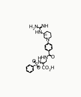 N=C(N)N[C@H]1CCCN(c2ccc(C(=O)NC[C@H](NS(=O)(=O)c3ccccc3)C(=O)O)cc2)C1